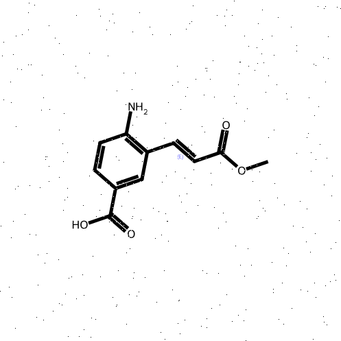 COC(=O)/C=C/c1cc(C(=O)O)ccc1N